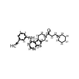 C#Cc1cccc(Nc2ncnc3sc4c(c23)CCN(C(=O)CCN2CCCCC2)C4)c1